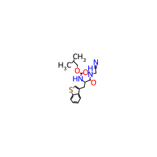 CC(C)COC(=O)NC(Cc1csc2ccccc12)C(=O)NCC#N